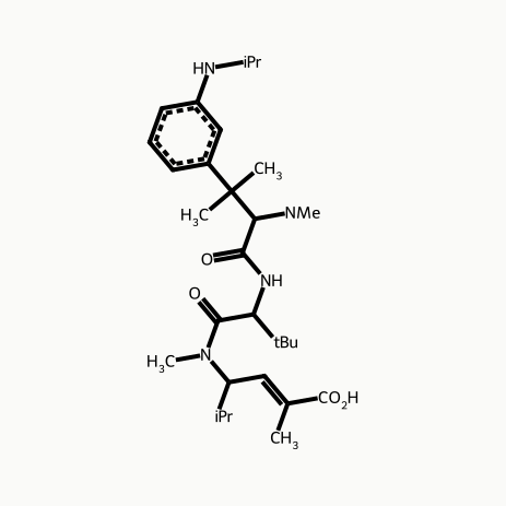 CNC(C(=O)NC(C(=O)N(C)C(/C=C(\C)C(=O)O)C(C)C)C(C)(C)C)C(C)(C)c1cccc(NC(C)C)c1